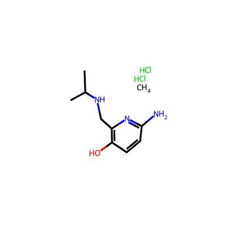 C.CC(C)NCc1nc(N)ccc1O.Cl.Cl